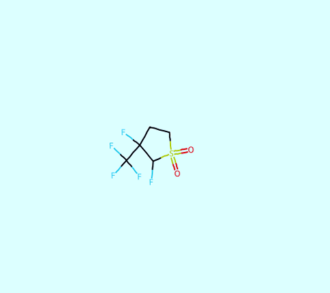 O=S1(=O)CCC(F)(C(F)(F)F)C1F